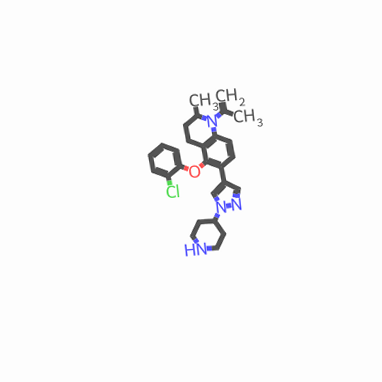 C=C(C)N1c2ccc(-c3cnn(C4CCNCC4)c3)c(Oc3ccccc3Cl)c2CCC1C